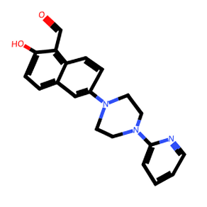 O=Cc1c(O)ccc2cc(N3CCN(c4ccccn4)CC3)ccc12